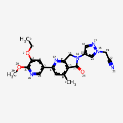 CCOc1cc(-c2cc(C)c3c(n2)CN(c2cnn(CC#N)c2)C3=O)cnc1OC